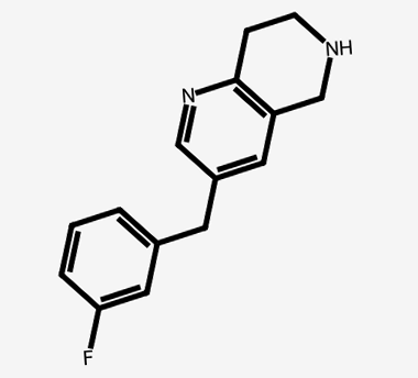 Fc1cccc(Cc2cnc3c(c2)CNCC3)c1